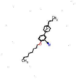 CCCCCCCCOc1ccc(C23CCC(CCC)(CC2)CC3)cc1C#N